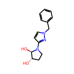 O[C@@H]1[C@@H](O)CCN1c1ccn(Cc2ccccc2)n1